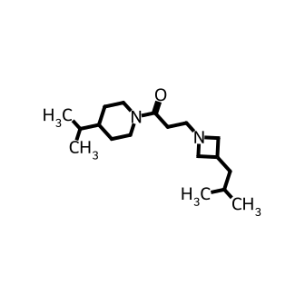 CC(C)CC1CN(CCC(=O)N2CCC(C(C)C)CC2)C1